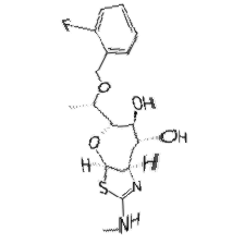 CNC1=N[C@@H]2[C@@H](O)[C@H](O)[C@@H]([C@H](C)OCc3ccccc3F)O[C@@H]2S1